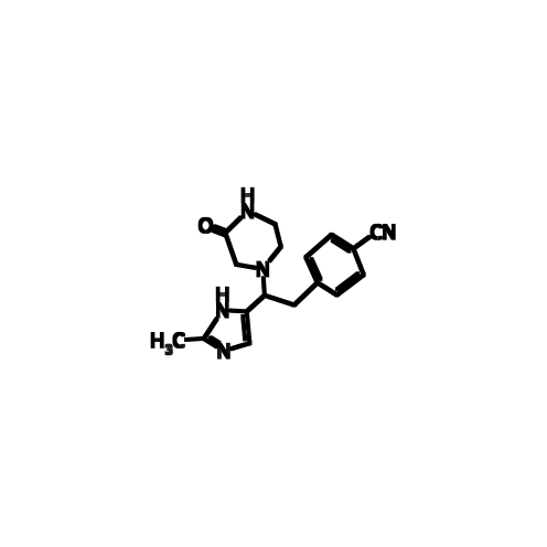 Cc1ncc(C(Cc2ccc(C#N)cc2)N2CCNC(=O)C2)[nH]1